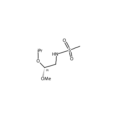 CO[C@@H](CNS(C)(=O)=O)OC(C)C